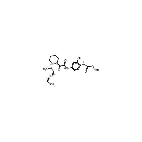 C=C(/C=C\N=C/C)[C@@H]1CCCCN1C(=O)C(=O)Nc1cnc(NC(=O)OC(C)(C)C)c(C)c1